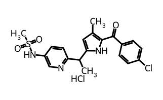 Cc1cc(C(C)c2ccc(NS(C)(=O)=O)cn2)[nH]c1C(=O)c1ccc(Cl)cc1.Cl